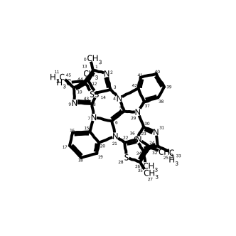 Cc1nc(N2C(=C3N(c4nc(C)c(C)s4)c4ccccc4N3c3nc(C)c(C)s3)N(c3nc(C)c(C)s3)c3ccccc32)sc1C